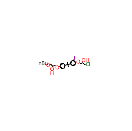 CCCCOC[C@H](O)COc1ccc(C(C)(C)c2ccc(OC[C@@H](O)CCl)c(I)c2)cc1